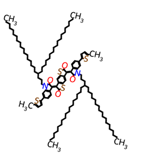 CCCCCCCCCCCCCCCCCCC(CCCCCCCCCCCCCCCCCC)CCCN1C(=O)/C(=C2/C(=O)Sc3cc4c(cc32)SC(=O)/C4=C2/C(=O)N(CCCC(CCCCCCCCCCCCCCCCCC)CCCCCCCCCCCCCCCCCC)c3cc(-c4ccc(C)s4)ccc32)c2ccc(-c3ccc(C)s3)cc21